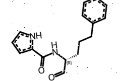 O=[C][C@@H](CCCc1ccccc1)NC(=O)c1ccc[nH]1